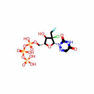 O=c1cnn([C@@H]2O[C@H](COP(=O)(O)OP(=O)(O)OP(=O)(O)O)C(O)[C@]2(Cl)CF)c(=O)[nH]1